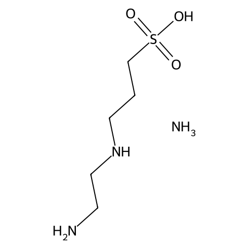 N.NCCNCCCS(=O)(=O)O